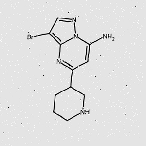 Nc1cc(C2CCCNC2)nc2c(Br)cnn12